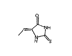 C/C=C1\NC(=S)NC1=O